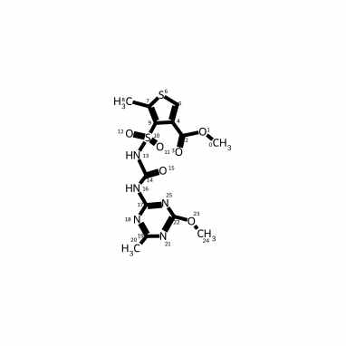 COC(=O)c1csc(C)c1S(=O)(=O)NC(=O)Nc1nc(C)nc(OC)n1